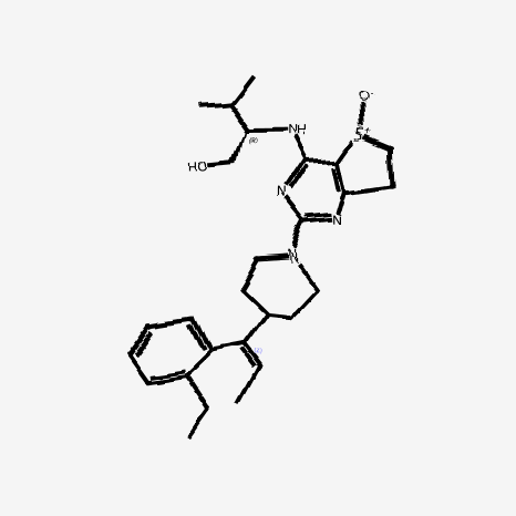 C/C=C(\c1ccccc1CC)C1CCN(c2nc3c(c(N[C@@H](CO)C(C)C)n2)[S+]([O-])CC3)CC1